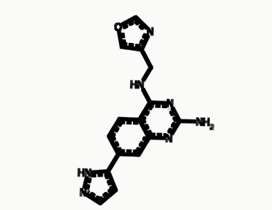 Nc1nc(NCc2cocn2)c2ccc(-c3ccn[nH]3)cc2n1